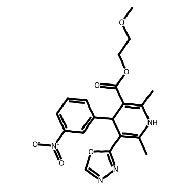 COCCOC(=O)C1=C(C)NC(C)=C(c2nnco2)C1c1cccc([N+](=O)[O-])c1